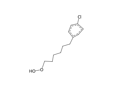 OOCCCCCCc1ccc(Cl)cc1